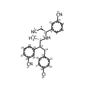 C[C@H](N[C@@H](CC#N)c1cccc(C#N)c1)C(Cc1ccc(Cl)cc1)c1cccc(C#N)c1